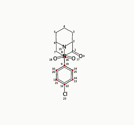 O=C1C2CCCC(CN1c1ccccc1)N2S(=O)(=O)c1ccc(Cl)cc1